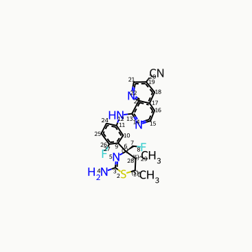 C[C@@H]1SC(N)=N[C@](CF)(c2cc(Nc3nccc4cc(C#N)cnc34)ccc2F)[C@@H]1C